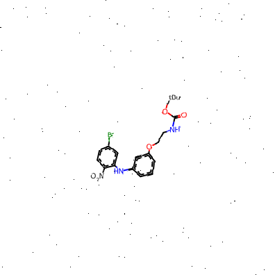 CC(C)(C)OC(=O)NCCOc1cccc(Nc2cc(Br)ccc2[N+](=O)[O-])c1